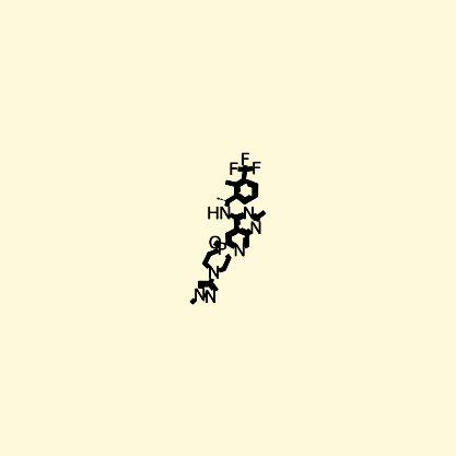 Cc1nc(N[C@H](C)c2cccc(C(F)(F)F)c2C)c2cc(P3(=O)CCN(c4cnn(C)c4)CC3)ncc2n1